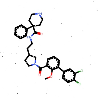 COc1c(C(=O)N2CCC(CCNC(=O)C3(c4ccccc4)CCNCC3)C2)cccc1-c1ccc(Cl)c(Cl)c1